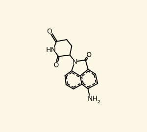 Nc1ccc2c3c(cccc13)N(C1CCC(=O)NC1=O)C2=O